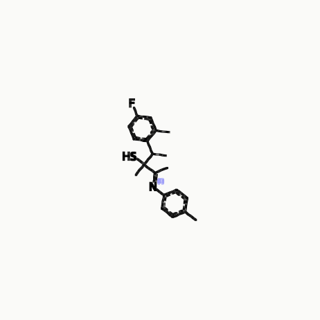 C/C(=N\c1ccc(C)cc1)C(C)(S)C(C)c1ccc(F)cc1C